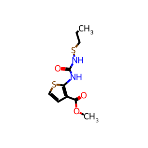 CCCSNC(=O)Nc1sccc1C(=O)OC